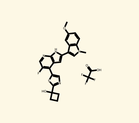 COc1ccc2c(c1)c(-c1cc3c(-c4cnc(C5(O)CCC5)s4)c(F)cnc3[nH]1)cn2C.O=C(O)C(F)(F)F